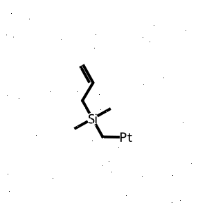 C=CC[Si](C)(C)[CH2][Pt]